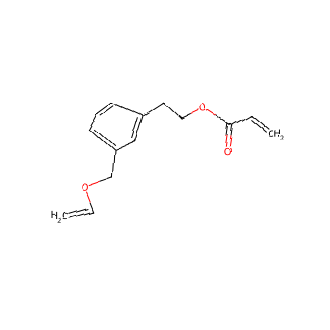 C=COCc1cccc(CCOC(=O)C=C)c1